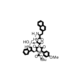 COc1ccc(CC(=O)N(C(=O)[C@H](Cc2c[nH]c3ccccc23)NC(=O)OC(C)(C)C)C(=O)[C@H](CC(=O)O)NC(=O)[C@@H](N)Cc2ccc3ccccc3c2)cc1